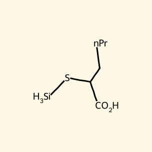 CCCCC(S[SiH3])C(=O)O